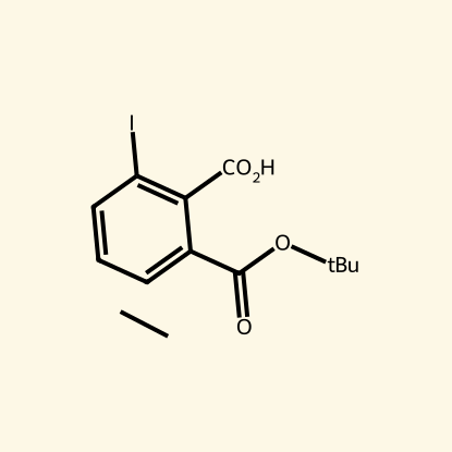 CC.CC(C)(C)OC(=O)c1cccc(I)c1C(=O)O